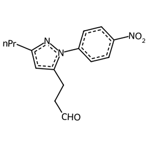 CCCc1cc(CCC=O)n(-c2ccc([N+](=O)[O-])cc2)n1